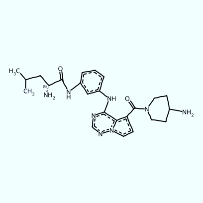 CC(C)C[C@@H](N)C(=O)Nc1cccc(Nc2ncnn3ccc(C(=O)N4CCC(N)CC4)c23)c1